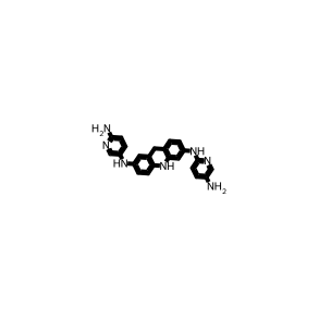 Nc1ccc(Nc2ccc3c(c2)Nc2ccc(Nc4ccc(N)nc4)cc2C3)nc1